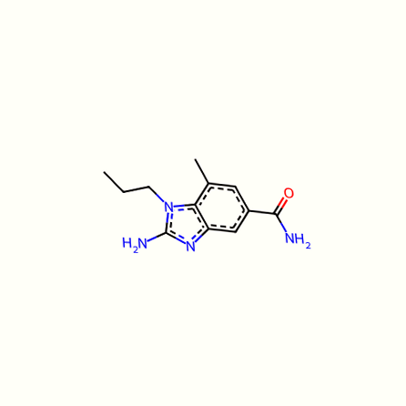 CCCn1c(N)nc2cc(C(N)=O)cc(C)c21